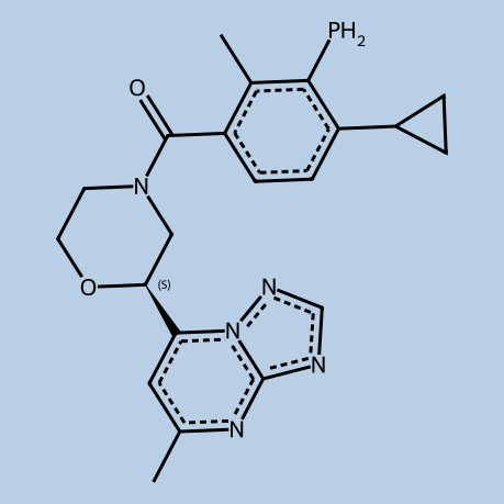 Cc1cc([C@@H]2CN(C(=O)c3ccc(C4CC4)c(P)c3C)CCO2)n2ncnc2n1